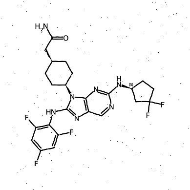 NC(=O)C[C@H]1CC[C@@H](n2c(Nc3c(F)cc(F)cc3F)nc3cnc(N[C@H]4CCC(F)(F)C4)nc32)CC1